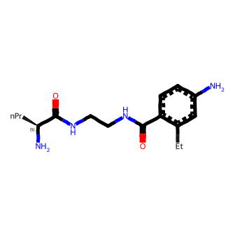 CCC[C@H](N)C(=O)NCCNC(=O)c1ccc(N)cc1CC